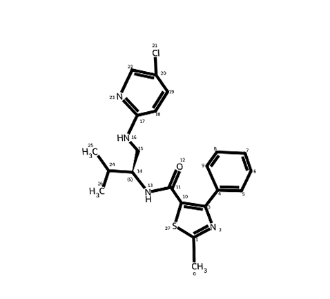 Cc1nc(-c2ccccc2)c(C(=O)N[C@H](CNc2ccc(Cl)cn2)C(C)C)s1